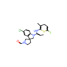 CC=C(NC1=C(C)CC=C(F)S1)N1CC2(CCN(C=O)C2)c2cc(Cl)ccc21